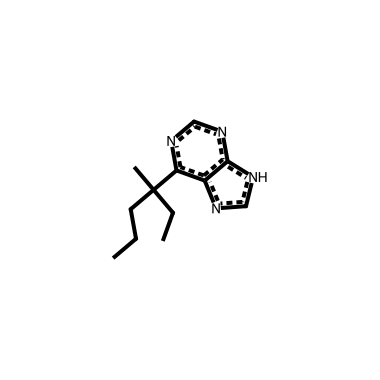 CCCC(C)(CC)c1ncnc2[nH]cnc12